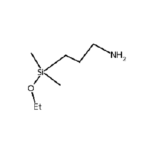 CCO[Si](C)(C)CCCN